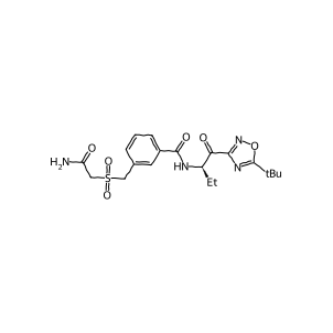 CC[C@@H](NC(=O)c1cccc(CS(=O)(=O)CC(N)=O)c1)C(=O)c1noc(C(C)(C)C)n1